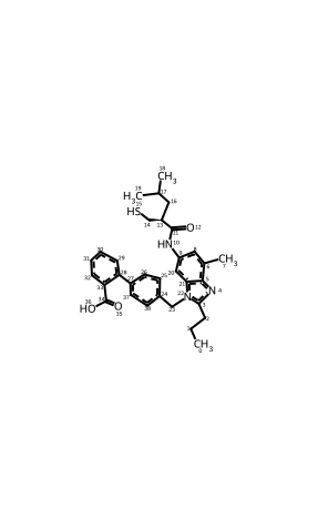 CCCc1nc2c(C)cc(NC(=O)[C@@H](CS)CC(C)C)cc2n1Cc1ccc(-c2ccccc2C(=O)O)cc1